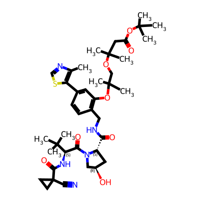 Cc1ncsc1-c1ccc(CNC(=O)[C@@H]2C[C@@H](O)CN2C(=O)[C@@H](NC(=O)C2(C#N)CC2)C(C)(C)C)c(OC(C)(C)COC(C)(C)CC(=O)OC(C)(C)C)c1